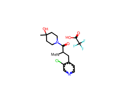 CNC(Cc1ccncc1Cl)C(=O)N1CCC(C)(O)CC1.O=C(O)C(F)(F)F